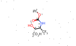 CC(C)OC(=O)N[C@H]([C@@H](O)C(=O)O)C(F)(F)F